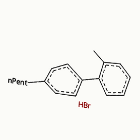 Br.CCCCCc1ccc(-c2ccccc2C)cc1